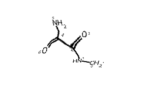 [CH2]NC(=O)C(N)=O